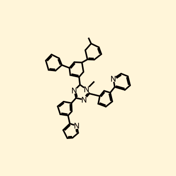 CC1C=CC=C(C2C=C(c3ccccc3)C=C(C3N=C(c4cccc(-c5ccccn5)c4)N=C(c4cccc(-c5ccccn5)c4)N3C)C2)C1